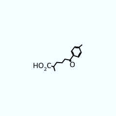 Cc1ccc(C(=O)CCCC(C)C(=O)O)cc1